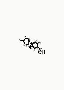 CC1CCn2c(nc3cc(CO)ccc32)C1